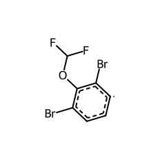 FC(F)Oc1c(Br)[c]ccc1Br